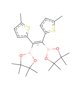 Cc1ccc(/C(B2OC(C)(C)C(C)(C)O2)=C(/B2OC(C)(C)C(C)(C)O2)c2ccc(C)s2)s1